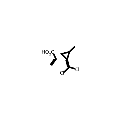 C=CC(=O)O.CC1CC1=C(Cl)Cl